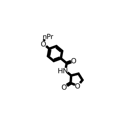 CCCOc1ccc(C(=O)NC2CCOC2=O)cc1